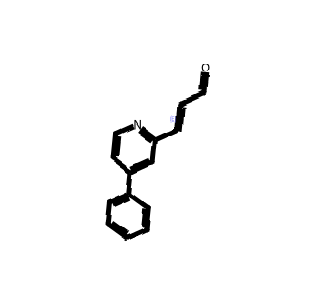 O=C/C=C/c1cc(-c2ccccc2)ccn1